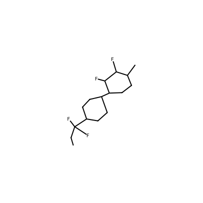 CCC(F)(F)C1CCC(C2CCC(C)C(F)C2F)CC1